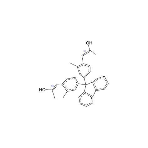 C/C(O)=C\c1ccc(C2(c3ccc(/C=C(\C)O)c(C)c3)c3ccccc3-c3ccccc32)cc1C